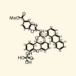 COC(=O)c1ccc2oc([SH]=C(OC3c4ccccc4Oc4ccccc43)Sc3cccc4cc5ccccc5cc34)nc2c1.O=P(O)(O)O